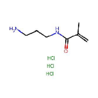 C=C(C)C(=O)NCCCN.Cl.Cl.Cl